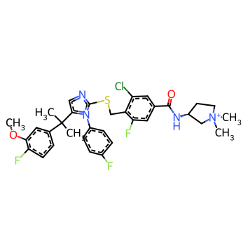 COc1cc(C(C)(C)c2cnc(SCc3c(F)cc(C(=O)N[C@H]4CC[N+](C)(C)C4)cc3Cl)n2-c2ccc(F)cc2)ccc1F